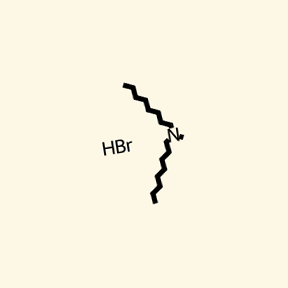 Br.CCCCCCCCN(C)CCCCCCCC